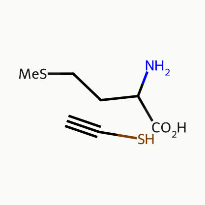 C#CS.CSCCC(N)C(=O)O